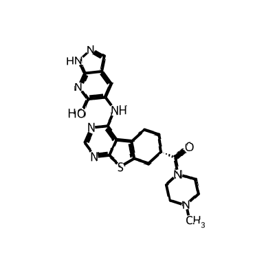 CN1CCN(C(=O)[C@H]2CCc3c(sc4ncnc(Nc5cc6cn[nH]c6nc5O)c34)C2)CC1